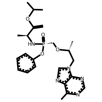 C=C(OC(C)C)[C@H](C)N[P@](=O)(CO[C@H](C)Cn1cnc2c(C)ncnc21)Oc1ccccc1